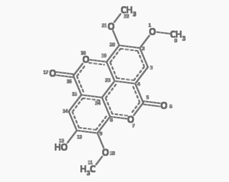 COc1cc2c(=O)oc3c(OC)c(O)cc4c(=O)oc(c1OC)c2c34